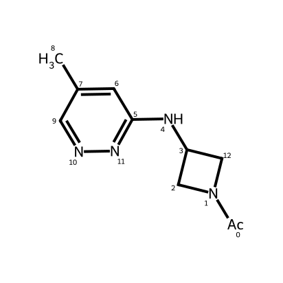 CC(=O)N1CC(Nc2cc(C)cnn2)C1